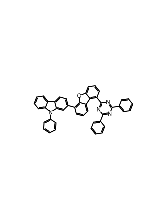 c1ccc(-c2nc(-c3ccccc3)nc(-c3cccc4oc5c(-c6ccc7c8ccccc8n(-c8ccccc8)c7c6)cccc5c34)n2)cc1